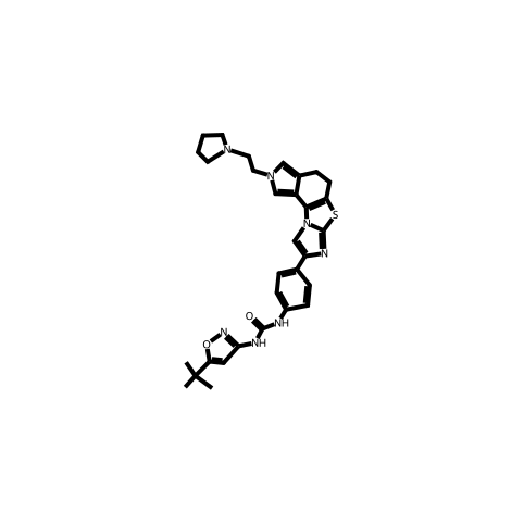 CC(C)(C)c1cc(NC(=O)Nc2ccc(-c3cn4c5c(sc4n3)CCc3cn(CCN4CCCC4)cc3-5)cc2)no1